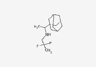 CC(NCC(C)(F)F)C12CC3CC(CC(C3)C1)C2